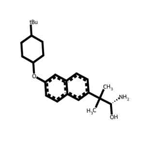 CC(C)(C)C1CCC(Oc2ccc3cc(C(C)(C)[C@H](N)O)ccc3c2)CC1